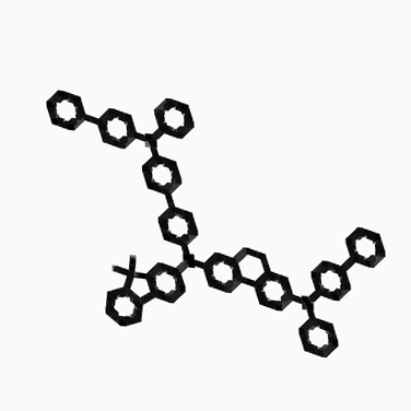 CC1(C)c2ccccc2-c2ccc(N(c3ccc(-c4ccc(N(c5ccccc5)c5ccc(-c6ccccc6)cc5)cc4)cc3)c3ccc4c(c3)CCc3cc(N(c5ccccc5)c5ccc(-c6ccccc6)cc5)ccc3-4)cc21